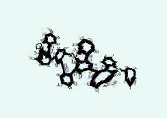 c1ccc(-n2c3ccccc3c3c(-c4cc5c6c(c4)c4ccccc4n6-c4ccc(-c6cccc7oc8ccccc8c67)cc4-c4ccccc4-5)cccc32)cc1